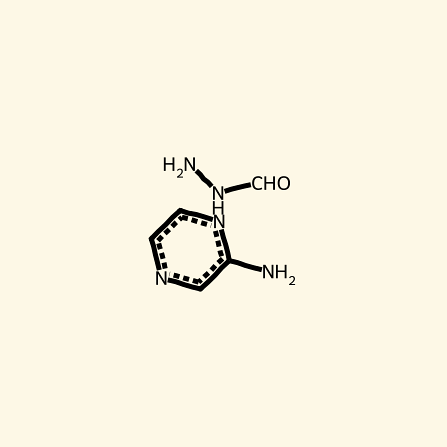 NNC=O.Nc1cnccn1